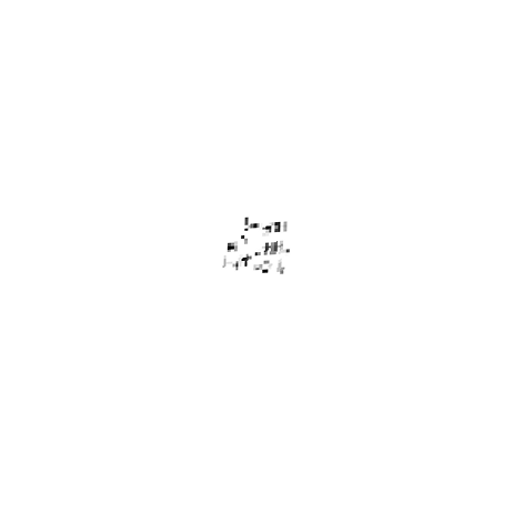 CCCO.NN.O